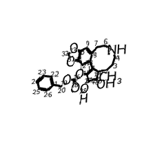 C[C@]12CCCNCCc3cc4c(cc3C1=C(OC(=O)OCc1ccccc1)[C@@H](O)[C@H]2O)OCO4